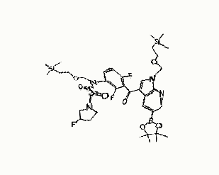 CC1(C)OB(c2cnc3c(c2)c(C(=O)c2c(F)ccc(N(COCC[Si](C)(C)C)S(=O)(=O)N4CC[C@@H](F)C4)c2F)cn3COCC[Si](C)(C)C)OC1(C)C